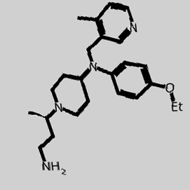 CCOc1ccc(N(Cc2cnccc2C)C2CCN([C@H](C)CCN)CC2)cc1